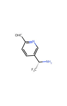 N[C@@H](c1ccc(C=O)nc1)C(F)(F)F